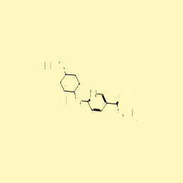 NC(=O)c1ccc(NC2CCC(N)CC2)nc1